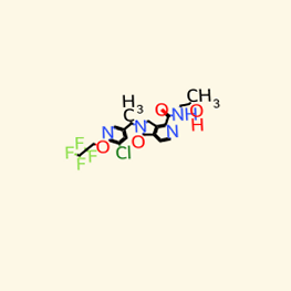 CC(c1cnc(OCC(F)(F)C(F)F)c(Cl)c1)N1Cc2c(ccnc2C(=O)NC[C@@H](C)O)C1=O